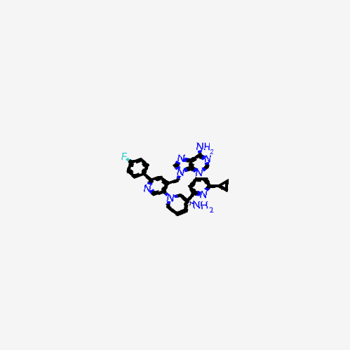 Nc1ncnc2c1ncn2Cc1cc(-c2ccc(F)cc2)ncc1N1CCC[C@](N)(c2cccc(C3CC3)n2)C1